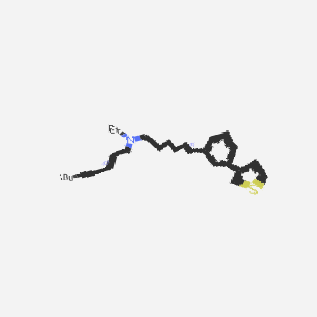 CCN(C/C=C/C#CC(C)(C)C)CCCC/C=C/c1cccc(-c2ccsc2)c1